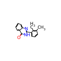 Cc1cccc(-c2nc3ccccc3c(=O)[nH]2)c1C